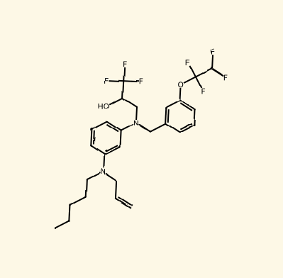 C=CCN(CCCCC)c1cccc(N(Cc2cccc(OC(F)(F)C(F)F)c2)CC(O)C(F)(F)F)c1